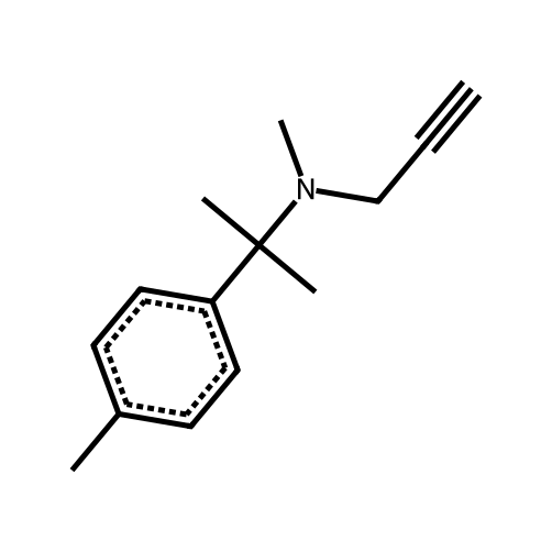 C#CCN(C)C(C)(C)c1ccc(C)cc1